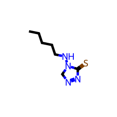 CCCCCNN1CN=NC1=S